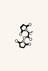 C[C@@H](C(=O)ON1C(=O)CCC1=O)N1C(=O)C=CC1=O